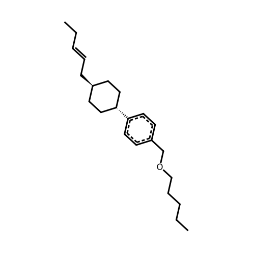 CCC=CC[C@H]1CC[C@H](c2ccc(COCCCCC)cc2)CC1